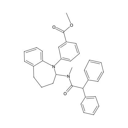 COC(=O)c1cccc(N2c3ccccc3CCCC2N(C)C(=O)C(c2ccccc2)c2ccccc2)c1